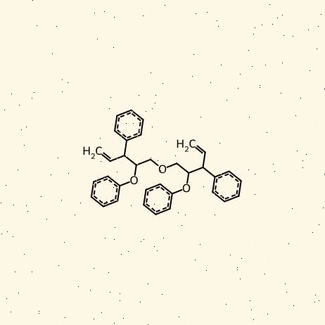 C=CC(c1ccccc1)C(COCC(Oc1ccccc1)C(C=C)c1ccccc1)Oc1ccccc1